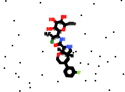 CSC1O[C@H]([C@H](NC(=O)[C@H]2NC[C@@H]3C=C(c4cccc(F)c4)CCO[C@@H]23)[C@H](C)Cl)[C@@H](O)C(O)[C@H]1O